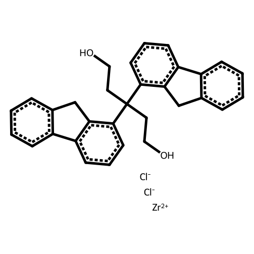 OCCC(CCO)(c1cccc2c1Cc1ccccc1-2)c1cccc2c1Cc1ccccc1-2.[Cl-].[Cl-].[Zr+2]